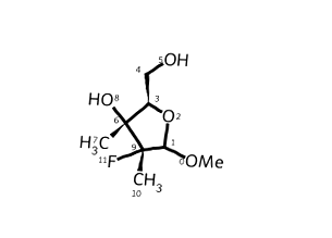 COC1O[C@H](CO)[C@@](C)(O)[C@@]1(C)F